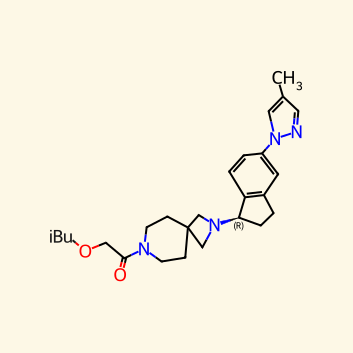 CCC(C)OCC(=O)N1CCC2(CC1)CN([C@@H]1CCc3cc(-n4cc(C)cn4)ccc31)C2